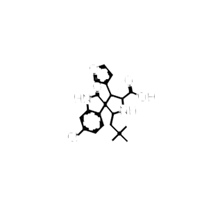 CC(C)(C)CC1NC(C(=O)O)C(c2ccoc2)C12C(=O)Nc1cc(Cl)ccc12